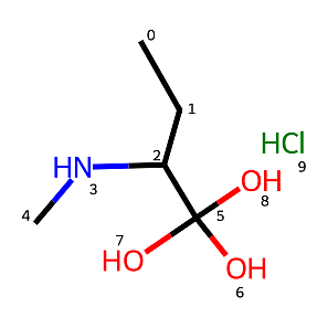 CCC(NC)C(O)(O)O.Cl